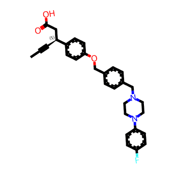 CC#C[C@@H](CC(=O)O)c1ccc(OCc2ccc(CN3CCN(c4ccc(F)cc4)CC3)cc2)cc1